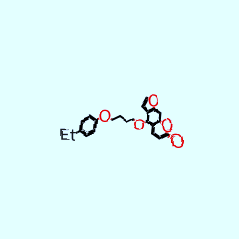 CCc1ccc(OCCCCOc2c3ccoc3cc3oc(=O)ccc23)cc1